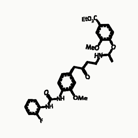 CCOC(=O)c1ccc(OC(C)NCCC(=O)Cc2ccc(NC(=O)Nc3ccccc3F)c(OC)c2)c(OC)c1